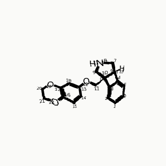 c1ccc2c(c1)[C@H]1CNC[C@@]21COc1ccc2c(c1)OCCO2